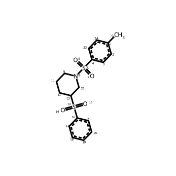 Cc1ccc(S(=O)(=O)N2CCCC(S(=O)(=O)c3ccccc3)C2)cc1